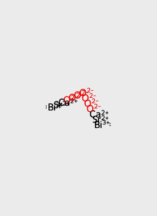 [Bi+3].[Bi+3].[Ca+2].[Ca+2].[O-2].[O-2].[O-2].[O-2].[O-2].[O-2].[O-2].[Sr+2].[Sr+2]